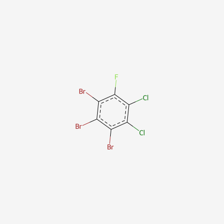 Fc1c(Cl)c(Cl)c(Br)c(Br)c1Br